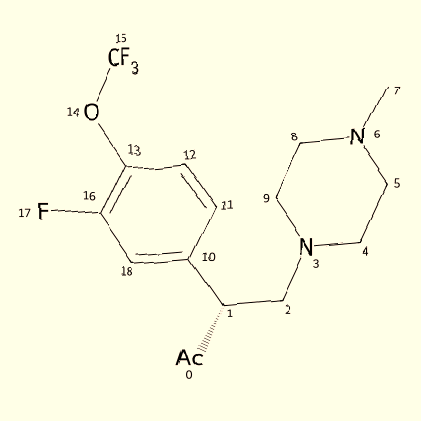 CC(=O)[C@@H](CN1CCN(C)CC1)c1ccc(OC(F)(F)F)c(F)c1